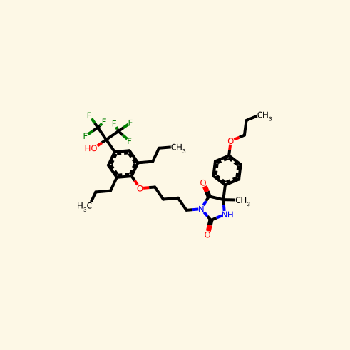 CCCOc1ccc(C2(C)NC(=O)N(CCCCOc3c(CCC)cc(C(O)(C(F)(F)F)C(F)(F)F)cc3CCC)C2=O)cc1